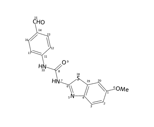 COc1ccc2nc(NC(=O)Nc3ccc(C=O)cc3)sc2c1